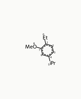 CCc1ccc(C(C)C)cc1OC